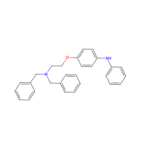 c1ccc(CN(CCOc2ccc(Nc3ccccc3)cc2)Cc2ccccc2)cc1